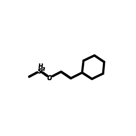 C[SiH2]OCCC1CCCCC1